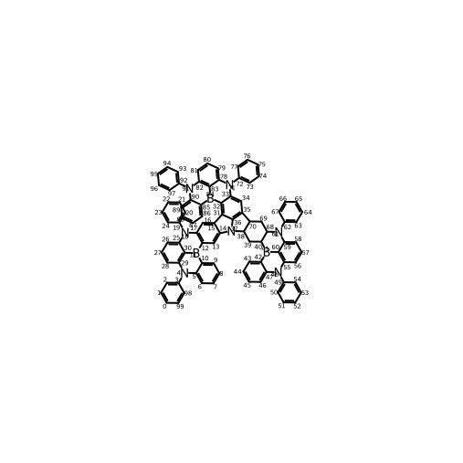 c1ccc(N2c3ccccc3B3c4cc5c(cc4N(c4ccccc4)c4cccc2c43)c2c3c(cc4c2n5C2CC5B6c7ccccc7N(c7ccccc7)c7cccc(c76)N(c6ccccc6)C5CC42)N(c2ccccc2)c2cccc4c2B3c2ccccc2N4c2ccccc2)cc1